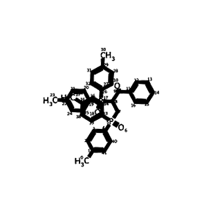 Cc1ccc(P(=O)(CC(C(=O)c2ccccc2)P(=O)(c2ccc(C)cc2)c2ccc(C)cc2)c2ccc(C)cc2)cc1